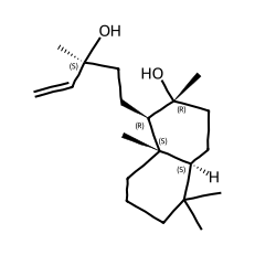 C=C[C@@](C)(O)CC[C@@H]1[C@@]2(C)CCCC(C)(C)[C@@H]2CC[C@@]1(C)O